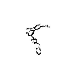 Nc1cc2c(cn1)[nH]c1ncc(C3CC(CN4CCCCC4)=CS3)cc12